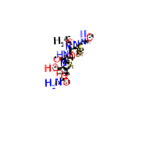 CON=C(C(=O)NC1C(=O)N2C(C(=O)O)=C(COC(N)=O)CS[C@@H]12)c1nc(NC=O)sc1Br